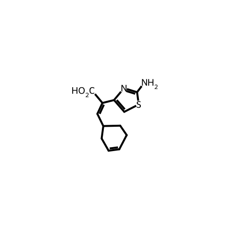 Nc1nc(C(=CC2CC=CCC2)C(=O)O)cs1